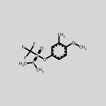 COc1ccc(OS(=O)(=S(C)C)C(F)(F)F)cc1C